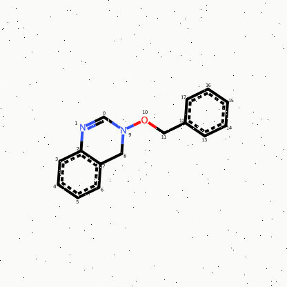 C1=Nc2ccccc2CN1OCc1ccccc1